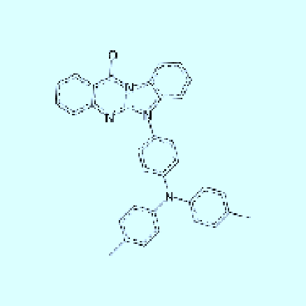 Cc1ccc(N(c2ccc(C)cc2)c2ccc(-n3c4ccccc4n4c(=O)c5ccccc5nc34)cc2)cc1